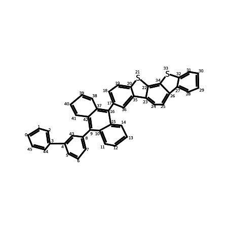 c1ccc(-c2cccc(-c3c4ccccc4c(-c4ccc5sc6c(ccc7c8ccccc8sc76)c5c4)c4ccccc34)c2)cc1